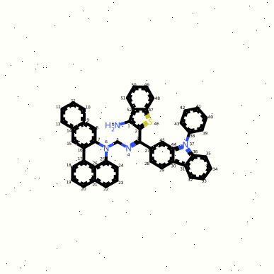 Nc1c(/C(=N\CN2c3cc4ccccc4cc3-c3cccc4cccc2c34)c2ccc3c4ccccc4n(-c4ccccc4)c3c2)sc2ccccc12